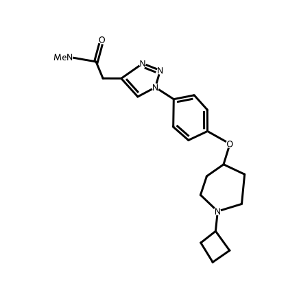 CNC(=O)Cc1cn(-c2ccc(OC3CCN(C4CCC4)CC3)cc2)nn1